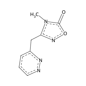 Cn1c(Cc2cccnn2)noc1=O